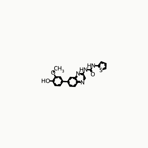 COc1cc(-c2ccc3ncc(NC(=O)Nc4cccs4)nc3c2)ccc1O